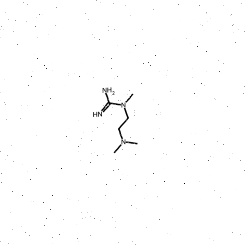 CN(C)CCN(C)C(=N)N